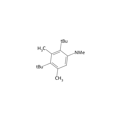 CNc1cc(C)c(C(C)(C)C)c(C)c1C(C)(C)C